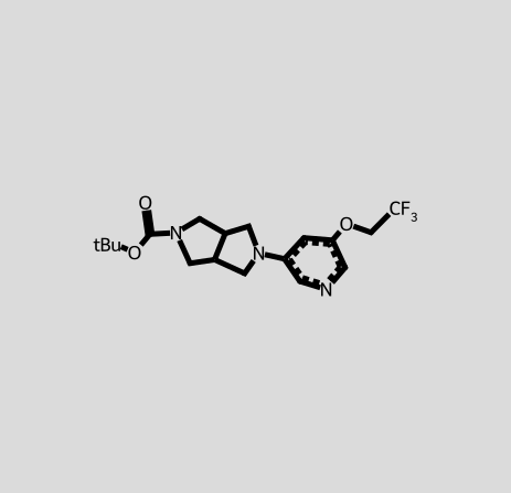 CC(C)(C)OC(=O)N1CC2CN(c3cncc(OCC(F)(F)F)c3)CC2C1